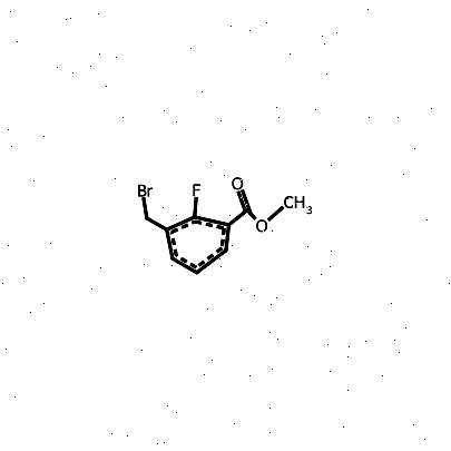 COC(=O)c1cccc(CBr)c1F